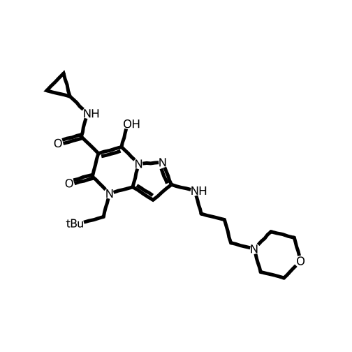 CC(C)(C)Cn1c(=O)c(C(=O)NC2CC2)c(O)n2nc(NCCCN3CCOCC3)cc12